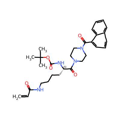 C=CC(=O)NCCCC[C@H](NC(=O)OC(C)(C)C)C(=O)N1CCN(C(=O)c2cccc3ccccc23)CC1